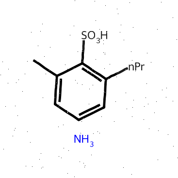 CCCc1cccc(C)c1S(=O)(=O)O.N